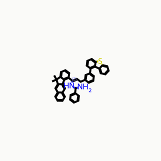 CC1(C)c2cc3ccccc3cc2-c2c(/C(=C/Cc3cccc(-c4cccc5sc6ccccc6c45)c3)NC(N)c3ccccc3)cccc21